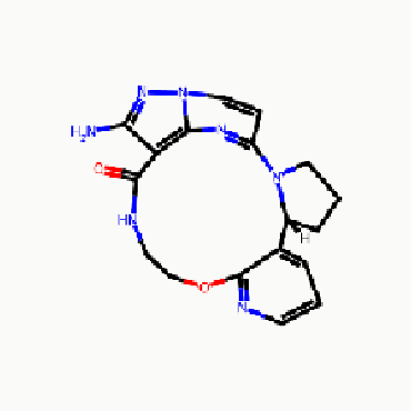 Nc1nn2ccc3nc2c1C(=O)NCCOc1ncccc1[C@H]1CCCN31